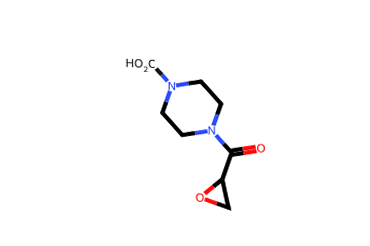 O=C(O)N1CCN(C(=O)C2CO2)CC1